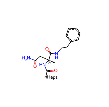 CCCCCCCC(=O)N[C@](C)(CC(N)=O)C(=O)NCCc1ccccc1